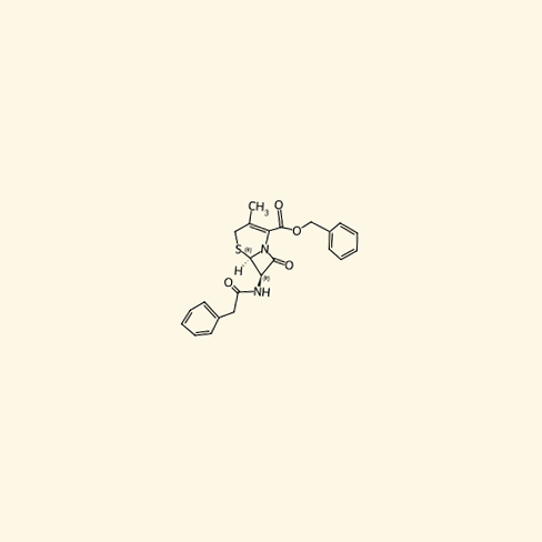 CC1=C(C(=O)OCc2ccccc2)N2C(=O)[C@@H](NC(=O)Cc3ccccc3)[C@H]2SC1